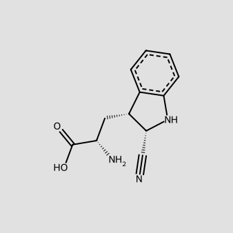 N#C[C@H]1Nc2ccccc2[C@H]1C[C@H](N)C(=O)O